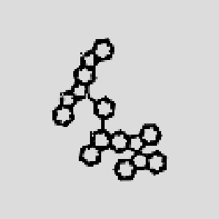 c1cc(-c2nc3ccccc3c3cc4c(cc23)-c2ccccc2C42c3ccccc3-c3ccccc32)cc(-n2c3cc4c(cc3c3sc5ccccc5c32)sc2ccccc24)c1